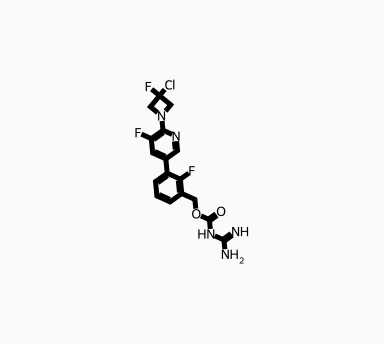 N=C(N)NC(=O)OCc1cccc(-c2cnc(N3CC(F)(Cl)C3)c(F)c2)c1F